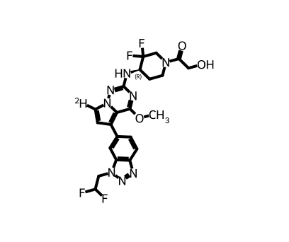 [2H]c1cc(-c2ccc3nnn(CC(F)F)c3c2)c2c(OC)nc(N[C@@H]3CCN(C(=O)CO)CC3(F)F)nn12